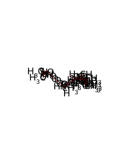 CC[C@H](C)[C@H](NC(=O)[C@H](C(C)C)N(C)C)C(=O)N(C)[C@H](C[C@@H](OC(C)=O)c1nc(C(=O)N[C@@H](Cc2ccccc2)C[C@H](C)C(=O)NOCc2ccc(NC(=O)[C@H](C)NC(=O)CCOCCOCCOCCOCCNC(=O)c3ccc4nc(CSC)c(CSC)nc4c3)cc2)cs1)C(C)C